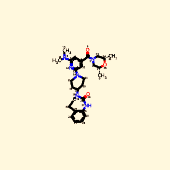 C[C@@H]1CN(C(=O)c2cc(N(C)C)nc(N3CCC(N4CCc5ccccc5NC4=O)CC3)c2)C[C@H](C)O1